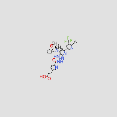 COCC1(CN(C)c2cc(-c3cnc(C4CC4)c(C(F)(F)F)c3)nc3nc(NC(=O)c4ccc(CCC(=O)O)cn4)[nH]c23)CCCC1